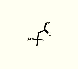 CC(=O)C(C)(C)CC(=O)C(C)C